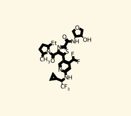 CCC1CCC(C)N1C(=O)c1nc(C(=O)N[C@@H]2COC[C@H]2O)sc1-c1cnc(N[C@@H](C2CC2)C(F)(F)F)cc1C(F)F